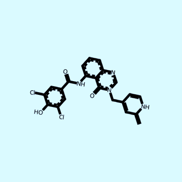 C=C1C=C(Cn2cnc3cccc(NC(=O)c4cc(Cl)c(O)c(Cl)c4)c3c2=O)C=CN1